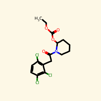 CCOC(=O)OC1CCCCN1C(=O)Cc1c(Cl)ccc(Cl)c1Cl